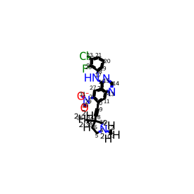 [2H]C([2H])([2H])N1CCC(C#Cc2cc3ncnc(Nc4cccc(Cl)c4F)c3cc2[N+](=O)[O-])(C([2H])([2H])[2H])C1